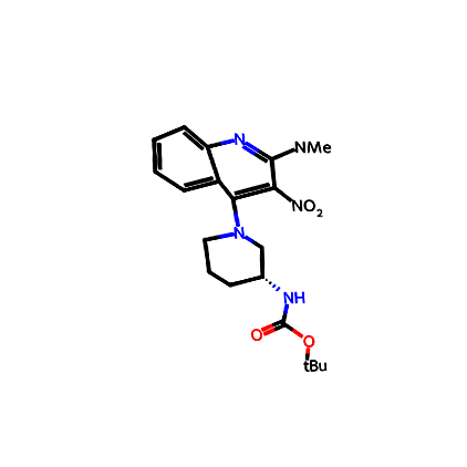 CNc1nc2ccccc2c(N2CCC[C@@H](NC(=O)OC(C)(C)C)C2)c1[N+](=O)[O-]